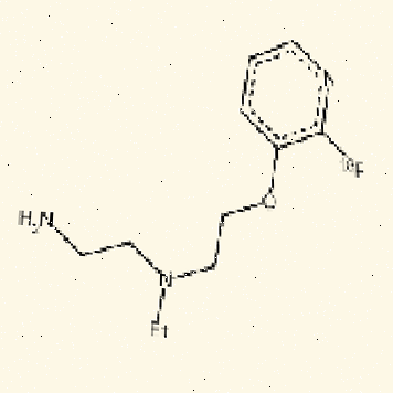 CCN(CCN)CCOc1cccnc1[18F]